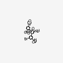 CCNc1cc(-c2cc(Br)cc(-c3ncco3)c2)nn(-c2cc(N3CCOCC3)ccc2[N+](=O)[O-])c1=O